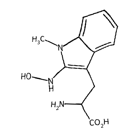 Cn1c(NO)c(CC(N)C(=O)O)c2ccccc21